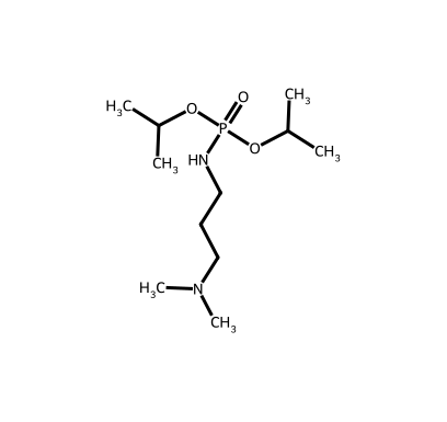 CC(C)OP(=O)(NCCCN(C)C)OC(C)C